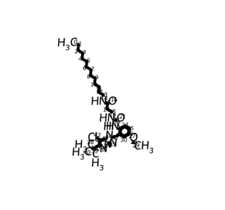 CCCCCCCCCCCCCCNC(=O)CCNC(=O)Nc1ccc(OCC)cc1-c1nn2nc(C(C)(C)C)c(Cl)c2[nH]1